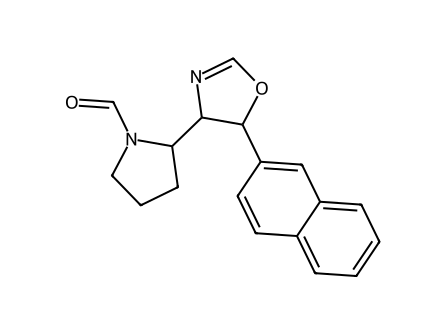 O=CN1CCCC1C1N=COC1c1ccc2ccccc2c1